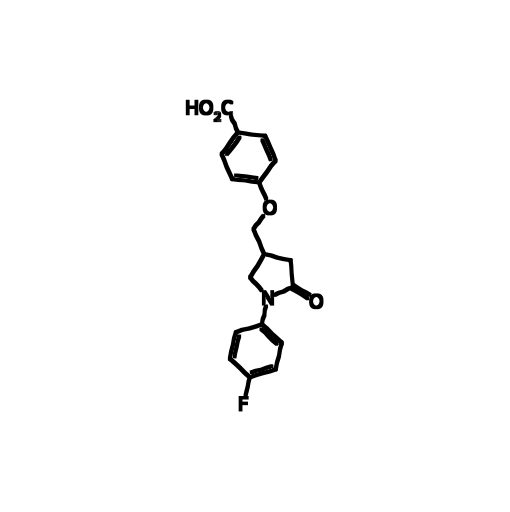 O=C(O)c1ccc(OCC2CC(=O)N(c3ccc(F)cc3)C2)cc1